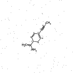 C=C(N)C1C=CC(C#CC)=CC1